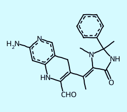 C/C(C1=C(C=O)Nc2cc(N)ncc2C1)=C1\C(=O)NC(C)(c2ccccc2)N1C